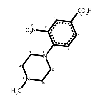 CN1CCN(c2ccc(C(=O)O)cc2[N+](=O)[O-])CC1